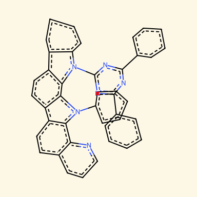 c1ccc(-c2nc(-c3ccccc3)nc(-n3c4ccccc4c4ccc5c6ccc7cccnc7c6n(-c6ccccc6)c5c43)n2)cc1